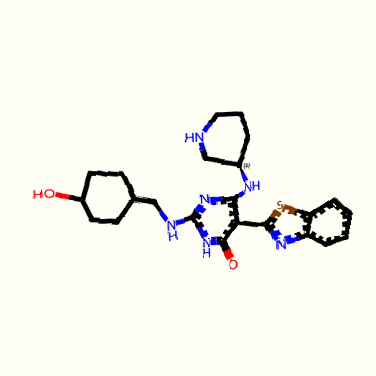 O=c1[nH]c(NCC2CCC(O)CC2)nc(N[C@@H]2CCCNC2)c1-c1nc2ccccc2s1